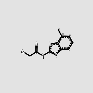 CC(=O)CC(=O)Nc1nc2cccc(C)c2s1